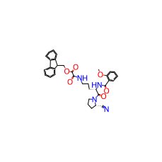 COc1ccccc1C(=O)N[C@@H](CCCNC(=O)C(=O)OCC1c2ccccc2-c2ccccc21)C(=O)N1CCC[C@H]1C#N